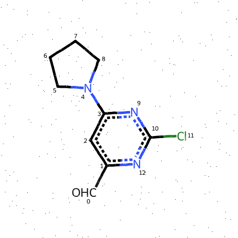 O=Cc1cc(N2CCCC2)nc(Cl)n1